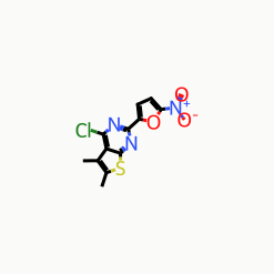 Cc1sc2nc(-c3ccc([N+](=O)[O-])o3)nc(Cl)c2c1C